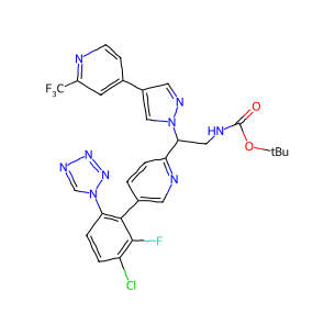 CC(C)(C)OC(=O)NCC(c1ccc(-c2c(-n3cnnn3)ccc(Cl)c2F)cn1)n1cc(-c2ccnc(C(F)(F)F)c2)cn1